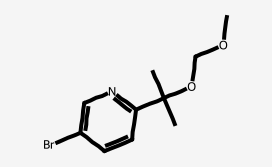 COCOC(C)(C)c1ccc(Br)cn1